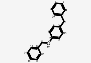 [c]1cccc(Cc2ccc(OCc3ccccc3)cc2)c1